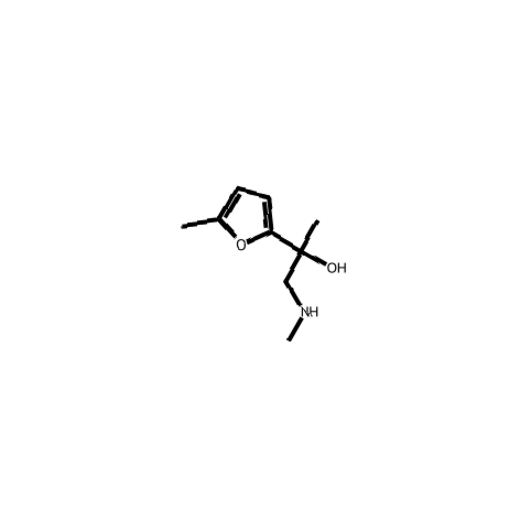 CNCC(C)(O)c1ccc(C)o1